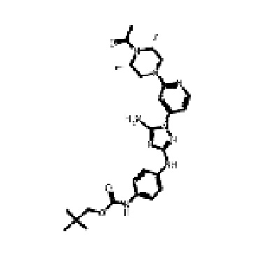 CC(=O)N1[C@H](C)CN(c2cc(-n3nc(Nc4ccc(NC(=O)OCC(C)(C)C)cc4)nc3N)ccn2)C[C@@H]1C